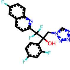 OC(Cn1cnnn1)(c1ccc(F)cc1F)C(F)(F)c1ccc2cc(F)ccc2n1